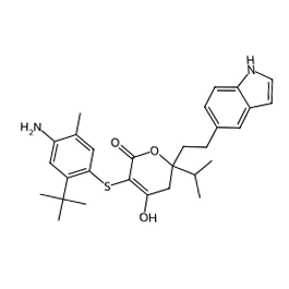 Cc1cc(SC2=C(O)CC(CCc3ccc4[nH]ccc4c3)(C(C)C)OC2=O)c(C(C)(C)C)cc1N